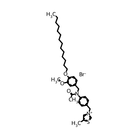 CCCCCCCCCCCCCCOc1ccc(CN(C(C)=O)c2ccc(C[n+]3csc(C)c3)cc2)cc1OC.[Br-]